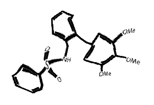 COc1cc(-c2ccccc2NS(=O)(=O)c2ccccc2)cc(OC)c1OC